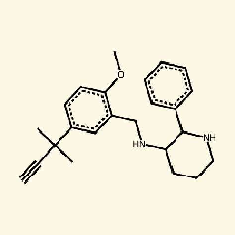 C#CC(C)(C)c1ccc(OC)c(CNC2CCCNC2c2ccccc2)c1